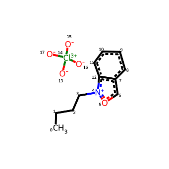 CCCC[n+]1occ2ccccc21.[O-][Cl+3]([O-])([O-])[O-]